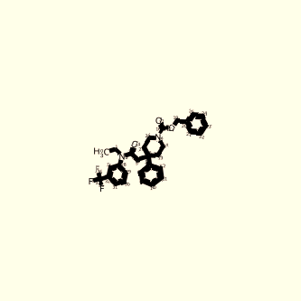 CCN(C(=O)CC1(c2ccccc2)CCN(C(=O)OCc2ccccc2)CC1)c1cccc(C(F)(F)F)c1